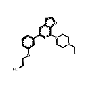 CCN1CCN(c2nc(-c3cccc(OCCO)c3)cc3ccoc23)CC1